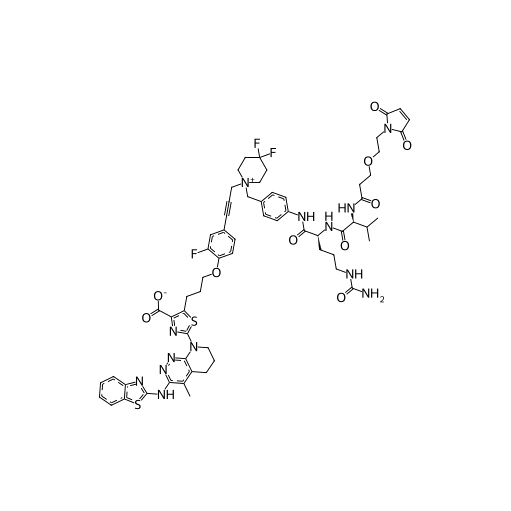 Cc1c(Nc2nc3ccccc3s2)nnc2c1CCCN2c1nc(C(=O)[O-])c(CCCOc2ccc(C#CC[N+]3(Cc4ccc(NC(=O)[C@H](CCCNC(N)=O)NC(=O)[C@@H](NC(=O)CCOCCN5C(=O)C=CC5=O)C(C)C)cc4)CCC(F)(F)CC3)cc2F)s1